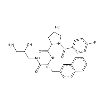 Cl.NCC(O)CNC(=O)[C@@H](Cc1ccc2ccccc2c1)NC(=O)C1CCCN1C(=O)c1ccc(F)cc1